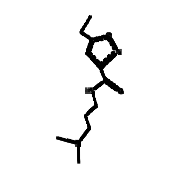 CCc1cc(C(=O)NCCCN(C)C)no1